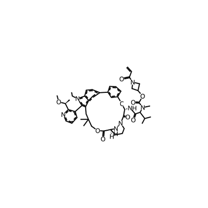 C=CC(=O)N1CC(OC(=O)N(C)C(C(=O)N[C@H]2Cc3cccc(c3)-c3ccc4c(c3)c(c(-c3cccnc3[C@H](C)OC)n4CC)CC(C)(C)COC(=O)[C@@H]3CCCN(N3)C2=O)C(C)C)C1